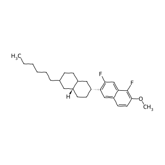 CCCCCCC1CCC2C[C@H](c3cc4ccc(OC)c(F)c4cc3F)CC[C@@H]2C1